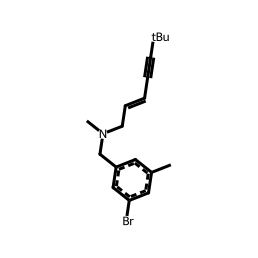 Cc1cc(Br)cc(CN(C)CC=CC#CC(C)(C)C)c1